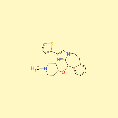 CN1CCC(OC2c3ccccc3CCn3cc(-c4cccs4)nc32)CC1